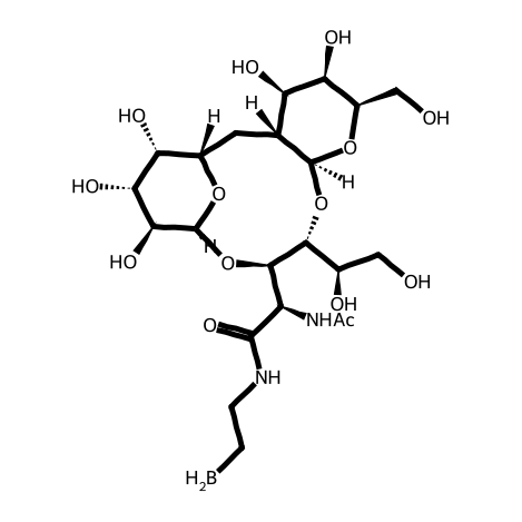 BCCNC(=O)[C@H](NC(C)=O)[C@H]1O[C@@H]2O[C@@H](C[C@H]3[C@H](O[C@@H]1[C@H](O)CO)O[C@H](CO)[C@H](O)[C@@H]3O)[C@@H](O)[C@@H](O)[C@@H]2O